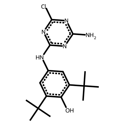 CC(C)(C)c1cc(Nc2nc(N)nc(Cl)n2)cc(C(C)(C)C)c1O